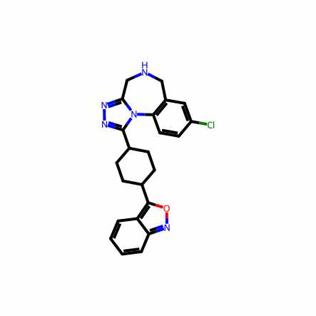 Clc1ccc2c(c1)CNCc1nnc(C3CCC(c4onc5ccccc45)CC3)n1-2